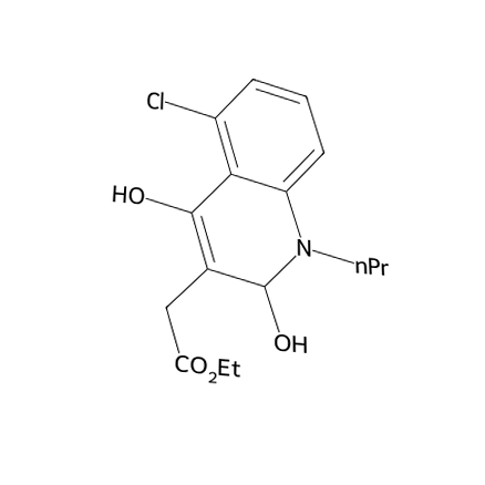 CCCN1c2cccc(Cl)c2C(O)=C(CC(=O)OCC)C1O